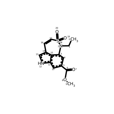 CCN1c2cc(C(=O)OC)cc3[nH]cc(c23)C=CS1(=O)=O